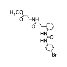 COC(=O)CCNC(=O)CCc1ccccc1NC(=O)Nc1ccc(Br)cc1